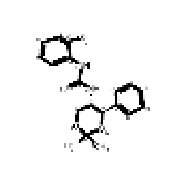 CC1(C)OC[C@H](NC(=O)Nc2ccccc2Br)[C@@H](c2ccccc2)O1